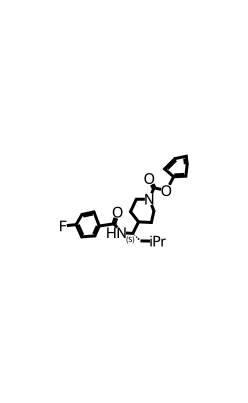 CC(C)C[C@H](NC(=O)c1ccc(F)cc1)C1CCN(C(=O)Oc2ccccc2)CC1